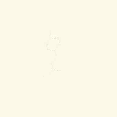 CC(=O)OC(C)CSc1ccc(Br)cc1